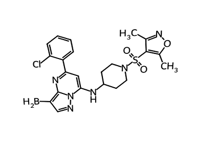 Bc1cnn2c(NC3CCN(S(=O)(=O)c4c(C)noc4C)CC3)cc(-c3ccccc3Cl)nc12